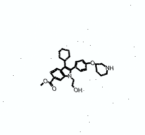 COC(=O)c1ccc2c(C3CCCCC3)c(-c3ccc(OC4CCCNC4)cc3)n(CCO)c2c1